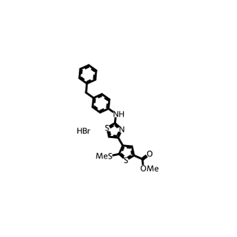 Br.COC(=O)c1cc(-c2csc(Nc3ccc(Cc4ccccc4)cc3)n2)c(SC)s1